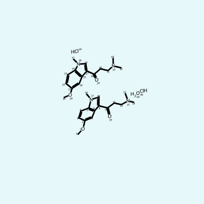 COc1ccc2c(c1)c(C(=O)CCN(C)C)cn2C.COc1ccc2c(c1)c(C(=O)CCN(C)C)cn2C.Cl.Cl.O